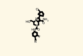 N#Cc1ccc(NC(=O)N2Cc3c(C(N)=O)c(-c4cccc(Cl)c4)nn3C(CO)C2)cc1F